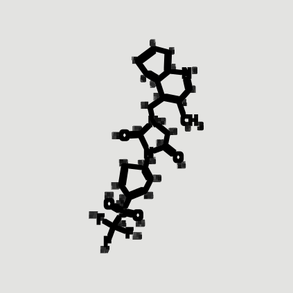 Cc1cnc2ccccc2c1CN1CC(=O)N(c2ccc(S(=O)(=O)C(F)(F)F)cc2)C1=O